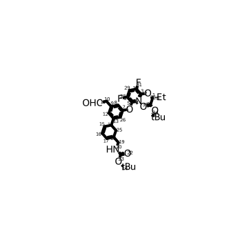 CC[C@@H](Oc1nc(Oc2cc(CC=O)cc(C3C=CC=C(CNC(=O)OC(C)(C)C)C3)c2)c(F)cc1F)C(=O)OC(C)(C)C